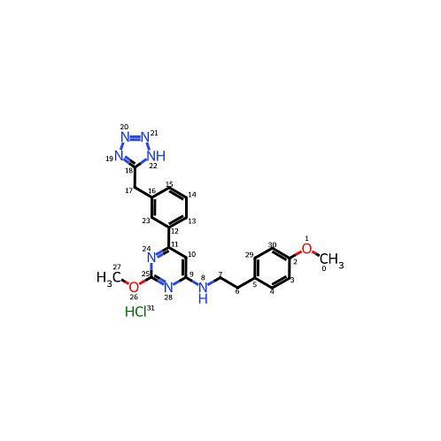 COc1ccc(CCNc2cc(-c3cccc(Cc4nnn[nH]4)c3)nc(OC)n2)cc1.Cl